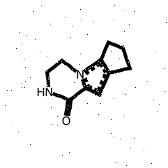 O=C1NCCn2c1cc1c2CCC1